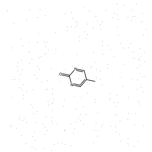 CC1=C=NC(=O)N=C1